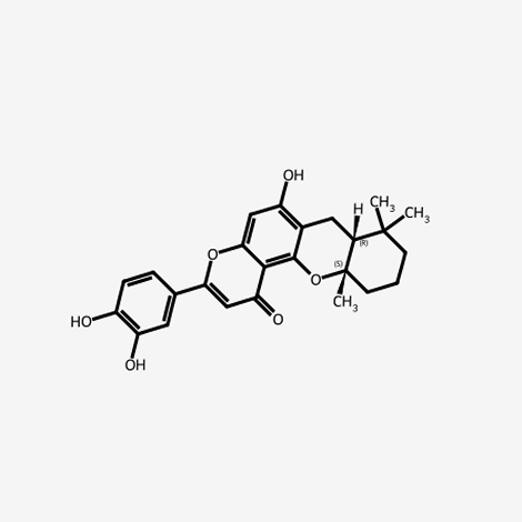 CC1(C)CCC[C@]2(C)Oc3c(c(O)cc4oc(-c5ccc(O)c(O)c5)cc(=O)c34)C[C@H]12